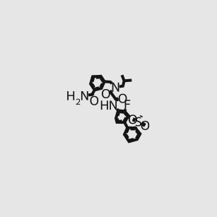 CC(C)CN(Cc1cccc(C(N)=O)c1)C(=O)C(=O)Nc1ccc(-c2ccccc2S(C)(=O)=O)cc1F